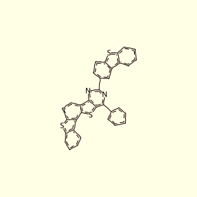 c1ccc(-c2nc(-c3ccc4sc5ccccc5c4c3)nc3c2sc2c3ccc3sc4ccccc4c32)cc1